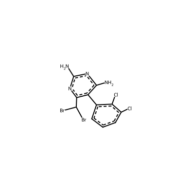 Nc1nc(N)c(-c2cccc(Cl)c2Cl)c(C(Br)Br)n1